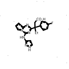 CCC(CC(=O)O)(c1ccc(F)cc1)c1nc(Nc2cc[nH]n2)n2cccc2n1